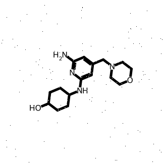 Nc1cc(CN2CCOCC2)cc(NC2CCC(O)CC2)n1